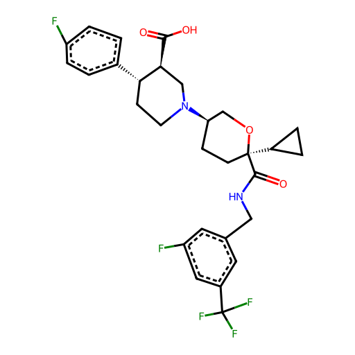 O=C(O)[C@H]1CN([C@@H]2CC[C@@](C(=O)NCc3cc(F)cc(C(F)(F)F)c3)(C3CC3)OC2)CC[C@@H]1c1ccc(F)cc1